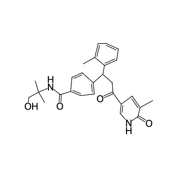 Cc1ccccc1C(CC(=O)c1c[nH]c(=O)c(C)c1)c1ccc(C(=O)NC(C)(C)CO)cc1